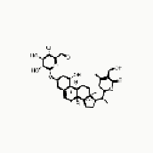 CC1=C(CO)C(=O)O[C@@H]([C@@H](C)[C@H]2CC[C@H]3[C@@H]4CC=C5C[C@@H](O[C@@H]6O[C@H](CO)[C@@H](O)[C@H](O)[C@H]6O)C[C@H](O)[C@]5(C)[C@H]4CC[C@]23C)C1